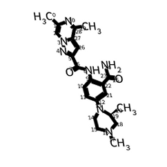 Cc1cn2nc(C(=O)Nc3ccc(N4CCN(C)C[C@@H]4C)cc3C(N)=O)cc2c(C)n1